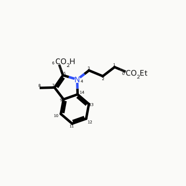 CCOC(=O)CCCn1c(C(=O)O)c(C)c2ccccc21